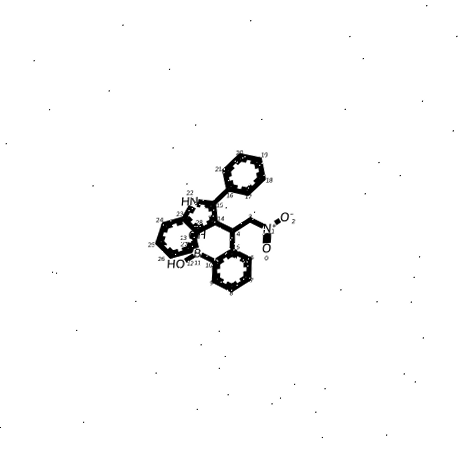 O=[N+]([O-])CC(c1ccccc1B(O)O)c1c(-c2ccccc2)[nH]c2ccccc12